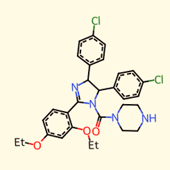 CCOc1ccc(C2=NC(c3ccc(Cl)cc3)C(c3ccc(Cl)cc3)N2C(=O)N2CCNCC2)c(OCC)c1